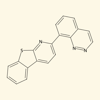 c1cc(-c2ccc3c(n2)sc2ccccc23)c2nnccc2c1